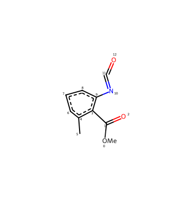 COC(=O)c1c(C)cccc1N=C=O